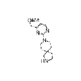 COCc1ccnc(N2CCC3(CCNC3)CC2)n1